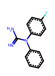 N=C(N)N(c1ccccc1)c1ccc(F)cc1